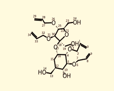 C=CCO[C@@H]1[C@@H](OCC=C)[C@H](O)[C@@H](CO)C[C@@H]1O[C@]1(CO)O[C@H](CO)[C@@H](OCC=C)[C@@H]1OCC=C